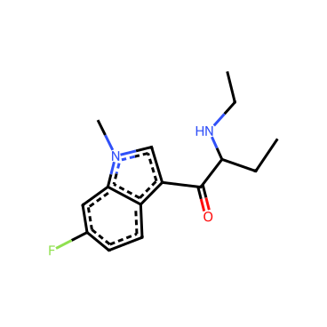 CCNC(CC)C(=O)c1cn(C)c2cc(F)ccc12